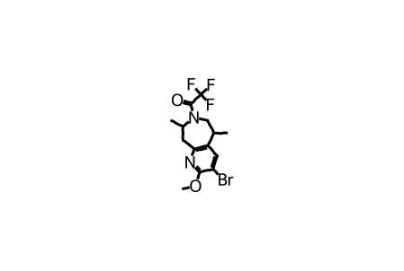 COc1nc2c(cc1Br)C(C)CN(C(=O)C(F)(F)F)C(C)C2